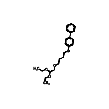 CCOC(COCCCCOc1ccc(-c2ccccc2)cc1)OCC